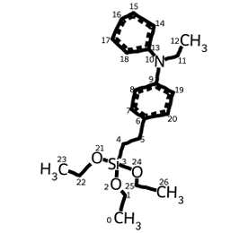 CCO[Si](CCc1ccc(N(CC)c2ccccc2)cc1)(OCC)OCC